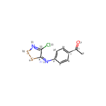 CC(=O)c1ccc(/N=c2/ssnc2Cl)cc1